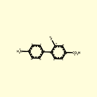 Nc1ccc(-c2ccc(C(=O)O)cc2F)cc1